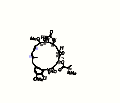 CN[C@@H](C)C(=O)O[C@H]1CC(O)N(C)c2cc(cc(OC)c2Cl)C/C(C)=C/C=C/[C@@H](OC)[C@@]2(O)C[C@@H](C[C@@H]3O[C@@]13C)OC(=O)N2